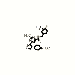 CC(=O)N[C@H]1CC[C@H](C2CON=C2c2cc(C(=O)NCc3ccc(F)c(C)c3)nc(C)n2)CC1